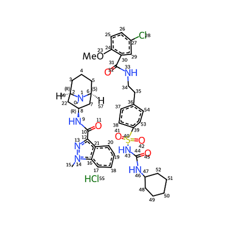 CN1[C@@H]2CCC[C@H]1C[C@@H](NC(=O)c1nn(C)c3ccccc13)C2.COc1ccc(Cl)cc1C(=O)NCCc1ccc(S(=O)(=O)NC(=O)NC2CCCCC2)cc1.Cl